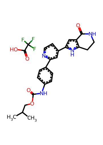 CC(C)COC(=O)Nc1ccc(-c2cc(-c3cc4c([nH]3)CCNC4=O)ccn2)cc1.O=C(O)C(F)(F)F